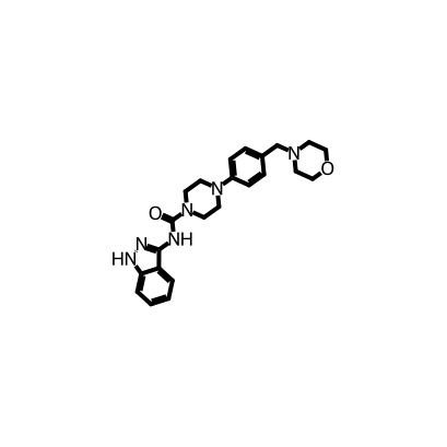 O=C(Nc1n[nH]c2ccccc12)N1CCN(c2ccc(CN3CCOCC3)cc2)CC1